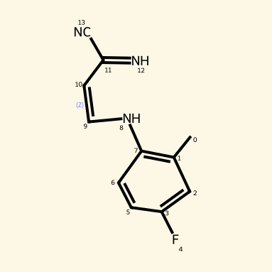 Cc1cc(F)ccc1N/C=C\C(=N)C#N